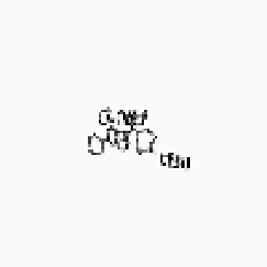 CC(C)(C)c1ccc(S(=O)(=O)NC(=O)Oc2ccccc2)cc1